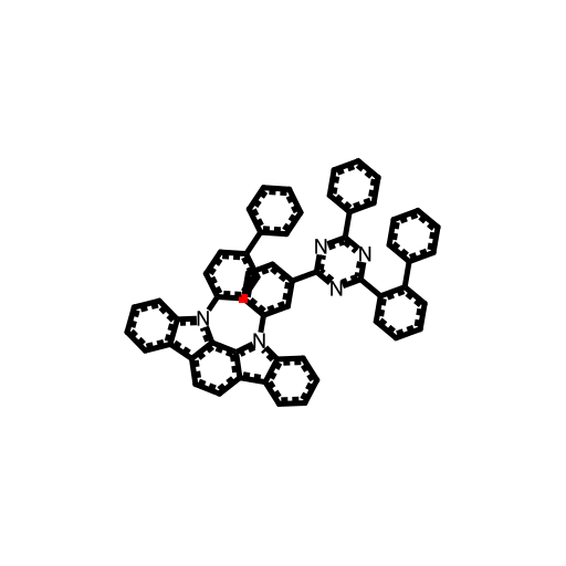 c1ccc(-c2ccc(-n3c4ccccc4c4ccc5c6ccccc6n(-c6cccc(-c7nc(-c8ccccc8)nc(-c8ccccc8-c8ccccc8)n7)c6)c5c43)cc2)cc1